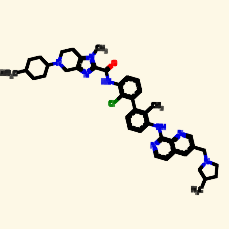 Cc1c(Nc2nccc3cc(CN4CCC(C)C4)cnc23)cccc1-c1cccc(NC(=O)c2nc3c(n2C)CCN(C2CCC(C(=O)O)CC2)C3)c1Cl